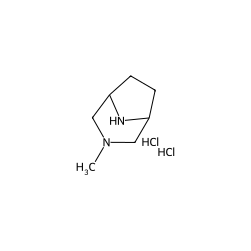 CN1CC2CCC(C1)N2.Cl.Cl